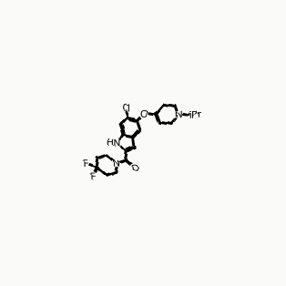 CC(C)N1CCC(Oc2cc3cc(C(=O)N4CCC(F)(F)CC4)[nH]c3cc2Cl)CC1